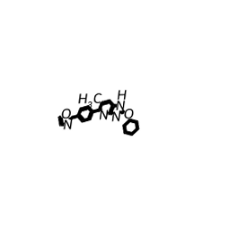 Cc1cc2[nH]c(OC3CCCCC3)nc2nc1-c1ccc(-c2ncco2)cc1